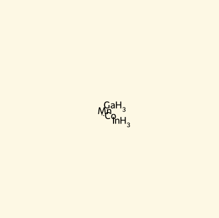 [Co].[GaH3].[InH3].[Mn]